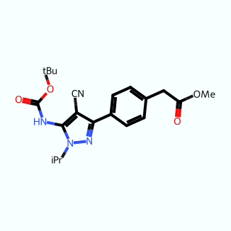 COC(=O)Cc1ccc(-c2nn(C(C)C)c(NC(=O)OC(C)(C)C)c2C#N)cc1